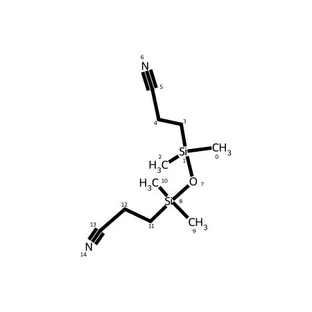 C[Si](C)(CCC#N)O[Si](C)(C)CCC#N